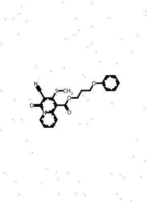 CSc1c(C#N)c(=O)n2ccccc2c1C(=O)OCCCOc1ccccc1